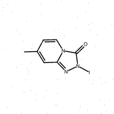 Cc1ccn2c(=O)n(I)nc2c1